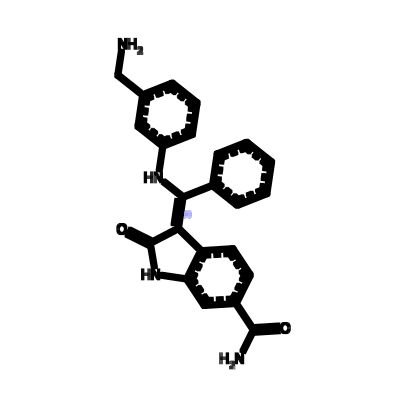 NCc1cccc(N/C(=C2\C(=O)Nc3cc(C(N)=O)ccc32)c2ccccc2)c1